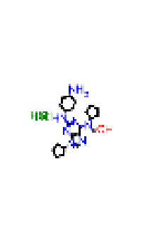 Cl.Cl.N[C@H]1CC[C@H](Nc2nc(N(CO)C3CCCC3)c3ncn(C4CCCC4)c3n2)CC1